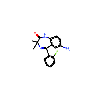 CC1(C)N=C(c2ccccc2F)c2cc(N)ccc2NC1=O